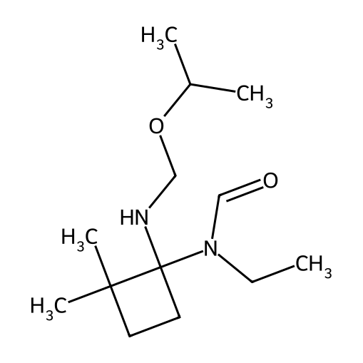 CCN(C=O)C1(NCOC(C)C)CCC1(C)C